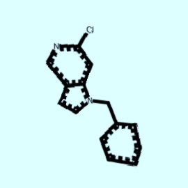 Clc1cc2c(ccn2Cc2ccccc2)cn1